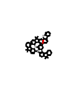 CC1(C)c2ccccc2-c2c(N3c4cc(-c5ccc6c(c5)oc5ccccc56)cc5c4B(c4ccc6c(c4-5)-c4ccccc4C6(C)C)c4ccc5c(c43)-c3ccccc3C5(C)C)cccc21